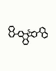 c1ccc2c(-c3ccc4c(c3)sc3c5ccc(-c6cccc7ccccc67)cc5c5ccccc5c43)cccc2c1